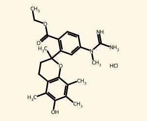 CCOC(=O)c1ccc(N(C)C(=N)N)cc1C1(C)CCc2c(C)c(O)c(C)c(C)c2O1.Cl